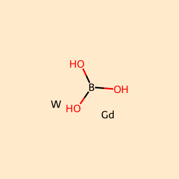 OB(O)O.[Gd].[W]